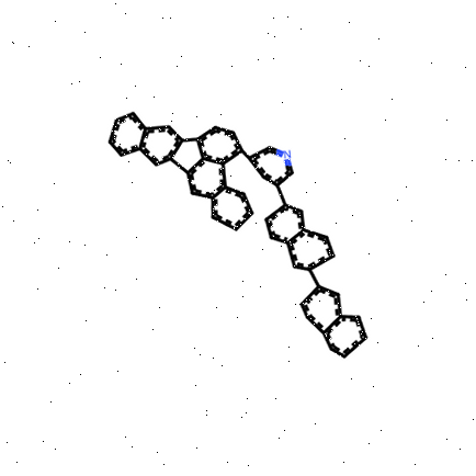 c1ccc2cc(-c3ccc4cc(-c5cncc(-c6ccc7c8c(cc9ccccc9c68)-c6cc8ccccc8cc6-7)c5)ccc4c3)ccc2c1